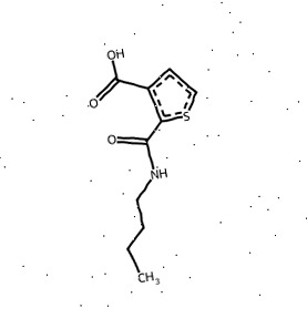 CCCCNC(=O)c1sccc1C(=O)O